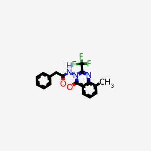 Cc1cccc2c(=O)n(NC(=O)Cc3ccccc3)c(C(F)(F)F)nc12